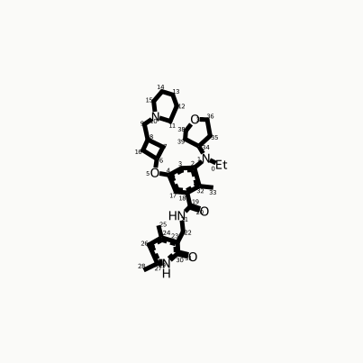 CCN(c1cc(OC2CC(CN3CCCCC3)C2)cc(C(=O)NCc2c(C)cc(C)[nH]c2=O)c1C)C1CCOCC1